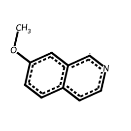 COc1ccc2ccn[c]c2c1